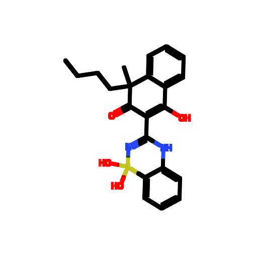 CCCCC1(C)C(=O)C(C2=NS(O)(O)c3ccccc3N2)=C(O)c2ccccc21